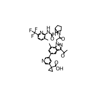 CC(=O)c1nn(CC(=O)N2C3CCC([C@@H]3C)[C@H]2C(=O)Nc2nc(C(F)(F)F)ccc2C)c2c(C)cc(-c3cncc(C4(C(=O)O)CC4)c3)cc12